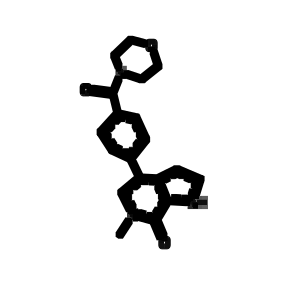 Cn1cc(-c2ccc(C(=O)N3CCOCC3)cc2)c2cc[nH]c2c1=O